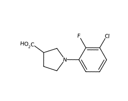 O=C(O)C1CCN(c2cccc(Cl)c2F)C1